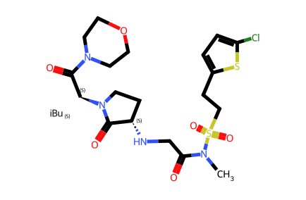 CC[C@H](C)[C@@H](C(=O)N1CCOCC1)N1CC[C@H](NCC(=O)N(C)S(=O)(=O)CCc2ccc(Cl)s2)C1=O